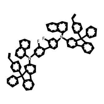 C=Cc1ccc(C2(c3ccccc3)c3ccccc3-c3ccc(N(c4ccc(-c5ccc(N(c6ccc7c(c6)C(c6ccccc6)(c6ccc(C=C)cc6)c6ccccc6-7)c6cccc7ccccc67)cc5F)c(F)c4)c4cccc5ccccc45)cc32)cc1